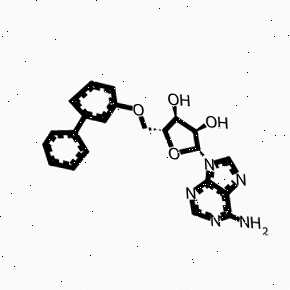 Nc1ncnc2c1ncn2[C@@H]1O[C@H](COc2cccc(-c3ccccc3)c2)[C@@H](O)[C@H]1O